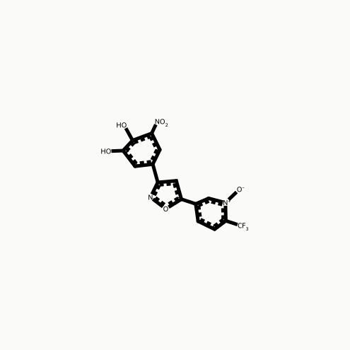 O=[N+]([O-])c1cc(-c2cc(-c3ccc(C(F)(F)F)[n+]([O-])c3)on2)cc(O)c1O